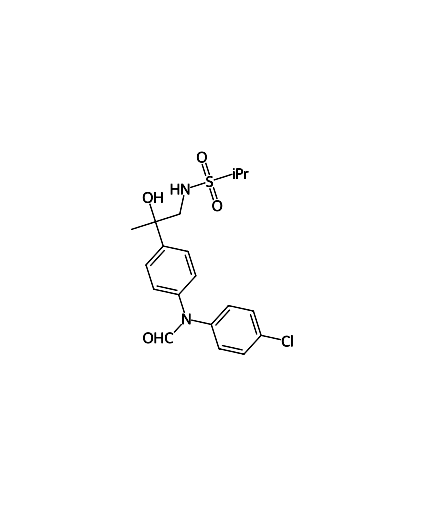 CC(C)S(=O)(=O)NCC(C)(O)c1ccc(N(C=O)c2ccc(Cl)cc2)cc1